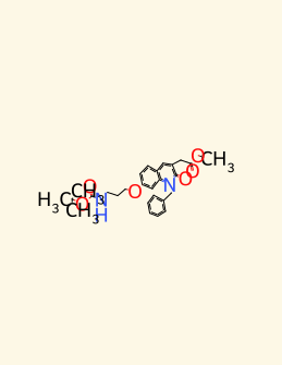 COC(=O)Cc1cc2ccc(OCCCNC(=O)OC(C)(C)C)cc2n(Cc2ccccc2)c1=O